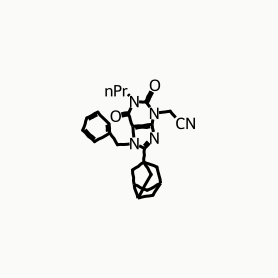 CCCn1c(=O)c2c(nc(C34CC5CC(C3)C(C5)C4)n2Cc2ccccc2)n(CC#N)c1=O